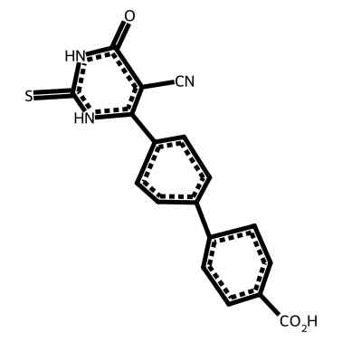 N#Cc1c(-c2ccc(-c3ccc(C(=O)O)cc3)cc2)[nH]c(=S)[nH]c1=O